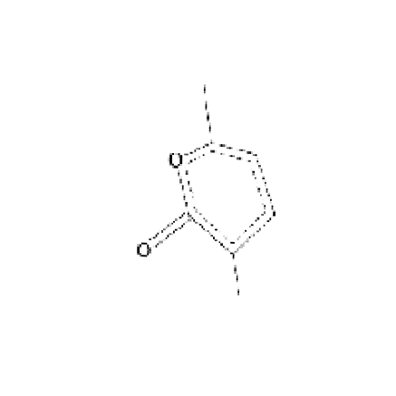 Cc1ccc(C)c(=O)o1